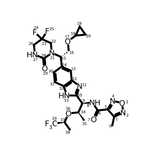 Cc1nonc1C(=O)N[C@H](c1nc2cc([C@@H](COC3CC3)N3CC(F)(F)CNC3=O)ccc2[nH]1)[C@@H](C)O[C@@H](C)C(F)(F)F